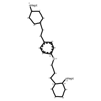 CCCCCCCC1CCC(CCc2ccc(OCCCC3CCCCC3CCCCCCC)cc2)CC1